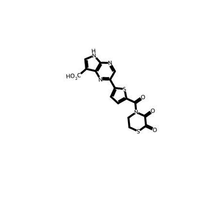 O=C1SCCN(C(=O)c2ccc(-c3cnc4[nH]cc(C(=O)O)c4n3)s2)C1=O